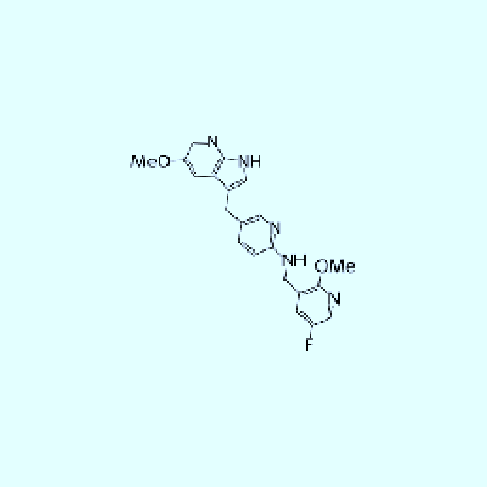 COc1cnc2[nH]cc(Cc3ccc(NCc4cc(F)cnc4OC)nc3)c2c1